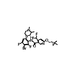 CC1CN(c2cc(F)c(Br)c(F)c2NC(=O)c2cnc(OCC[Si](C)(C)C)cc2C(F)F)CCN1C